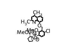 COC(=O)[C@@H]1CCCN1S(=O)(=O)c1ccc(Cl)c(COc2cccc3c(C)cc(C)nc23)c1OC